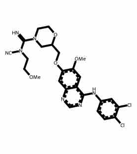 COCCN(C#N)C(=N)N1CCOC(COc2cc3ncnc(Nc4ccc(Cl)c(Cl)c4)c3cc2OC)C1